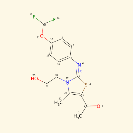 CC(=O)c1s/c(=N/c2ccc(OC(F)F)cc2)n(CCO)c1C